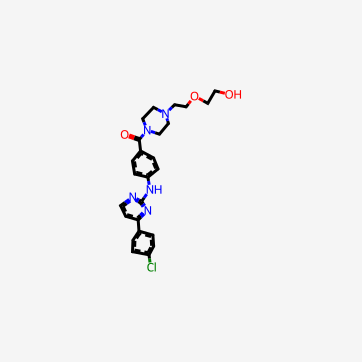 O=C(c1ccc(Nc2nccc(-c3ccc(Cl)cc3)n2)cc1)N1CCN(CCOCCO)CC1